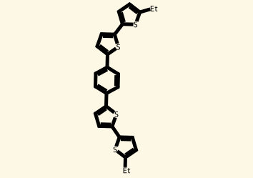 CCc1ccc(-c2ccc(-c3ccc(-c4ccc(-c5ccc(CC)s5)s4)cc3)s2)s1